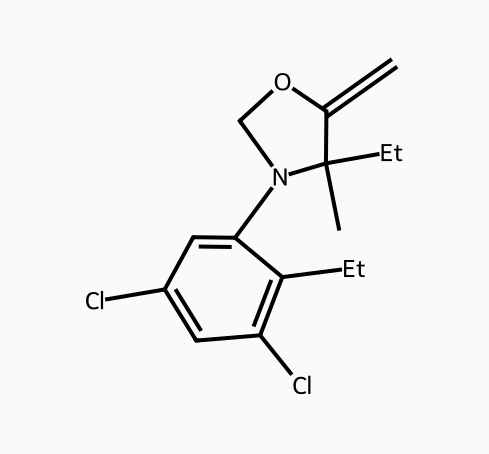 C=C1OCN(c2cc(Cl)cc(Cl)c2CC)C1(C)CC